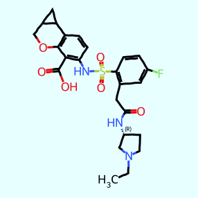 CCN1CC[C@@H](NC(=O)Cc2cc(F)ccc2S(=O)(=O)Nc2ccc3c(c2C(=O)O)OCC2CC32)C1